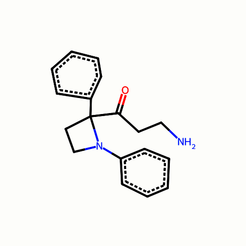 NCCC(=O)C1(c2ccccc2)CCN1c1ccccc1